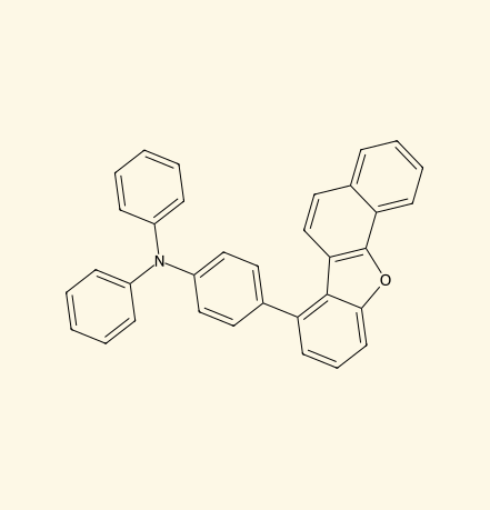 c1ccc(N(c2ccccc2)c2ccc(-c3cccc4oc5c6ccccc6ccc5c34)cc2)cc1